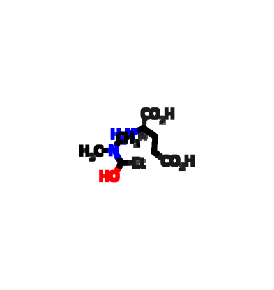 CCC(O)N(C)C.N[C@@H](CCC(=O)O)C(=O)O